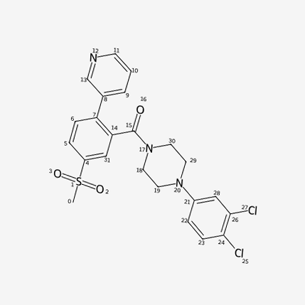 CS(=O)(=O)c1ccc(-c2cccnc2)c(C(=O)N2CCN(c3ccc(Cl)c(Cl)c3)CC2)c1